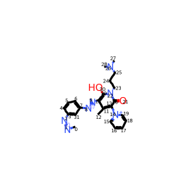 C/N=N\c1cccc(/N=N/c2c(C)c(-[n+]3ccccc3)c(=O)n(CCCN(C)C)c2O)c1